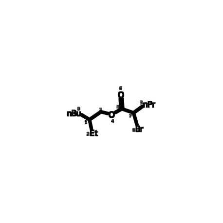 CCCCC(CC)COC(=O)C(Br)CCC